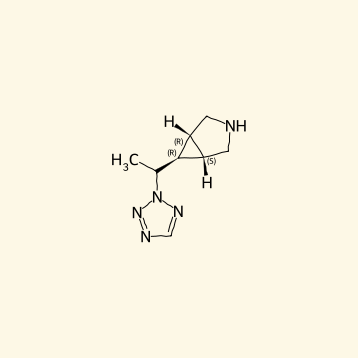 CC([C@H]1[C@@H]2CNC[C@@H]21)n1ncnn1